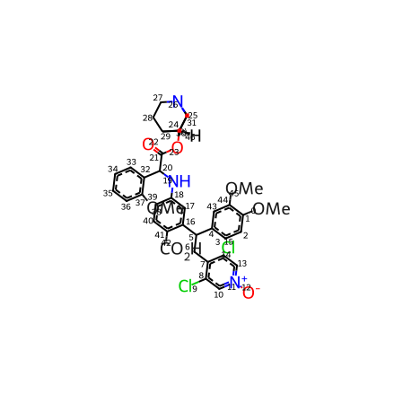 COc1ccc(C(Cc2c(Cl)c[n+]([O-])cc2Cl)c2cc(NC(C(=O)O[C@H]3CN4CCC3CC4)c3ccccc3OC)ccc2C(=O)O)cc1OC